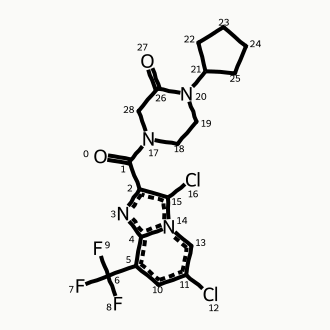 O=C(c1nc2c(C(F)(F)F)cc(Cl)cn2c1Cl)N1CCN(C2CCCC2)C(=O)C1